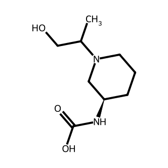 CC(CO)N1CCC[C@@H](NC(=O)O)C1